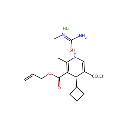 C=CCOC(=O)C1=C(C)NC=C(C(=O)OCC)[C@H]1C1CCC1.CN=C(N)S.Cl